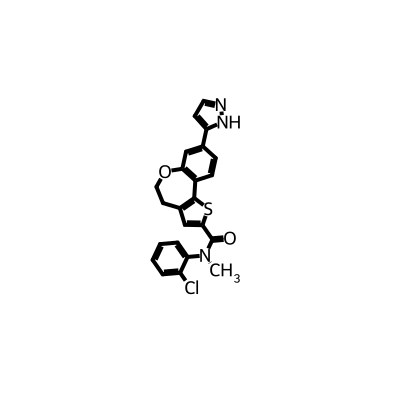 CN(C(=O)c1cc2c(s1)-c1ccc(-c3ccn[nH]3)cc1OCC2)c1ccccc1Cl